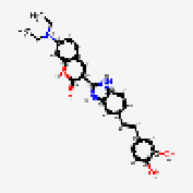 CCN(CC)c1ccc2cc(-c3nc4cc(/C=C/c5ccc(O)c(O)c5)ccc4[nH]3)c(=O)oc2c1